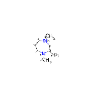 CC(C)C1CN(C)CCCN1C